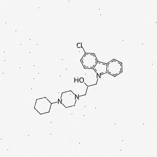 OC(CN1CCN(C2CCCCC2)CC1)Cn1c2ccccc2c2cc(Cl)ccc21